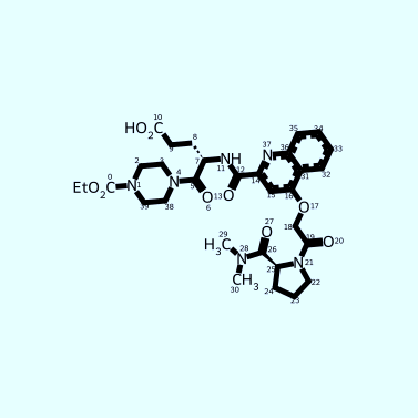 CCOC(=O)N1CCN(C(=O)[C@H](CCC(=O)O)NC(=O)c2cc(OCC(=O)N3CCC[C@H]3C(=O)N(C)C)c3ccccc3n2)CC1